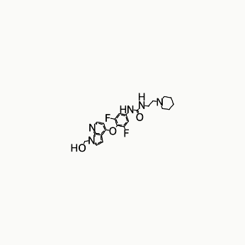 O=C(NCCN1CCCCC1)Nc1cc(F)c(Oc2ccnc3c2ccn3CO)c(F)c1